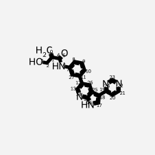 C=C(CO)C(=O)Nc1cccc(-c2cnc3[nH]cc(-c4ccncn4)c3c2)c1